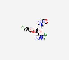 Oc1c(-c2cc(C(F)(F)F)n[nH]2)ccc(OCc2ccc(Cl)cc2)c1C#CCN1CCC(N2CCOCC2)CC1